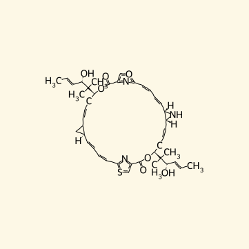 C/C=C/[C@H](O)C(C)(C)[C@@H]1C/C=C\C2C[C@@H]2/C=C/C=C\c2nc(cs2)C(=O)O[C@H](C(C)(C)[C@@H](O)/C=C/C)C/C=C\[C@H]2N[C@H]2/C=C/C=C\c2nc(co2)C(=O)O1